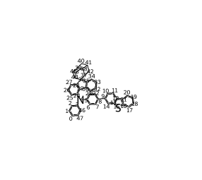 c1ccc(N(c2ccc(-c3ccc4c(c3)sc3ccccc34)cc2)c2cccc3c2-c2ccccc2C32C3CC4CC(C3)CC2C4)cc1